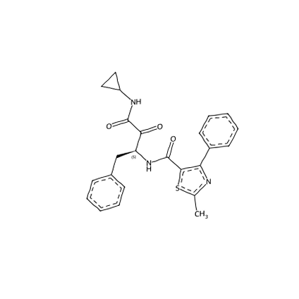 Cc1nc(-c2ccccc2)c(C(=O)N[C@@H](Cc2ccccc2)C(=O)C(=O)NC2CC2)s1